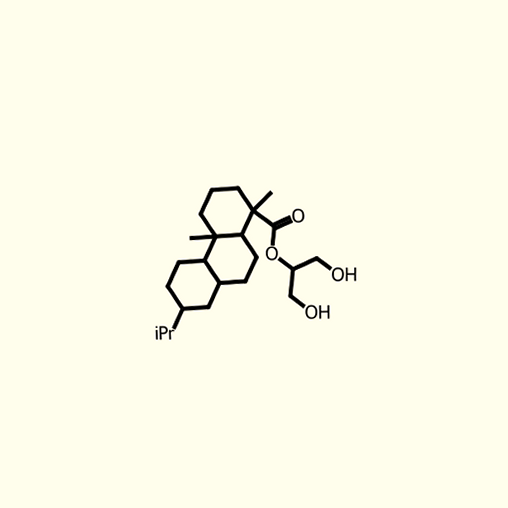 CC(C)C1CCC2C(CCC3C(C)(C(=O)OC(CO)CO)CCCC23C)C1